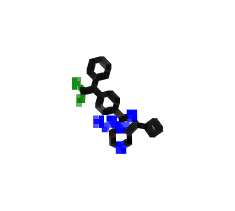 N[N+]12C=CN=CC1=C(C1=CC=C1)N=C2c1ccc(C(=C(F)F)c2ccccc2)cc1